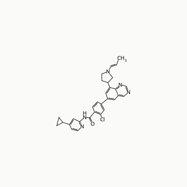 CC=CN1CCC(c2cc(-c3ccc(C(=O)Nc4cc(C5CC5)ccn4)c(Cl)c3)cc3cncnc23)C1